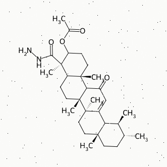 CC(=O)OC1CC[C@@]2(C)C(CC[C@]3(C)C2C(=O)C=C2C4[C@@H](C)[C@H](C)CC[C@]4(C)CC[C@]23C)[C@@]1(C)C(=O)NN